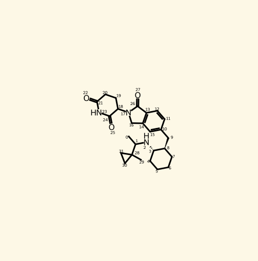 CC(N[C@H]1CCCC[C@@H]1Cc1ccc2c(c1)CN(C1CCC(=O)NC1=O)C2=O)C1(C)CC1